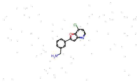 NCc1cccc(-c2cc3nccc(Cl)c3o2)c1